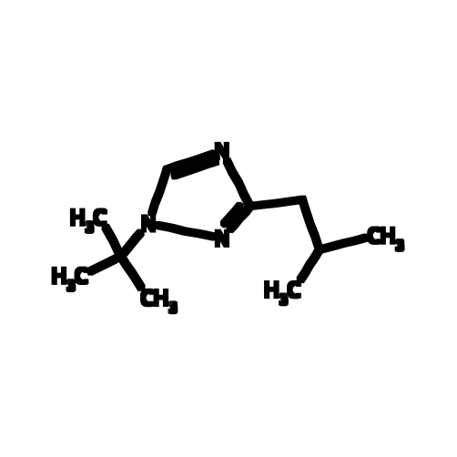 CC(C)Cc1ncn(C(C)(C)C)n1